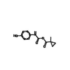 CC1(C(=O)OC(=O)Nc2ccc(O)cc2)CC1